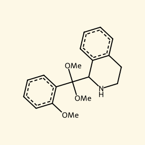 COc1ccccc1C(OC)(OC)C1NCCc2ccccc21